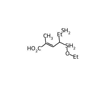 CCO[SiH2]C(C=C(C)C(=O)O)CC.S